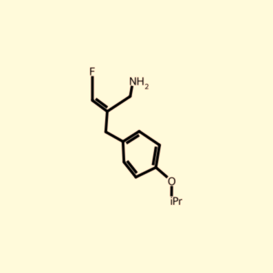 CC(C)Oc1ccc(CC(=CF)CN)cc1